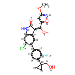 COc1cc(C(O)=C2C(=O)Nc3cc(Cl)c(-c4ccc(C5(CO)CC5)c(F)c4)cc32)on1